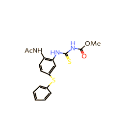 COC(=O)NC(=S)Nc1cc(Sc2ccccc2)ccc1NC(C)=O